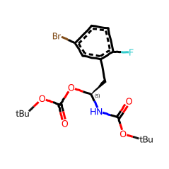 CC(C)(C)OC(=O)N[C@H](Cc1cc(Br)ccc1F)OC(=O)OC(C)(C)C